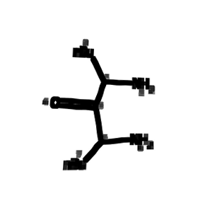 CCCCC(N)C(=O)C(N)CCCC